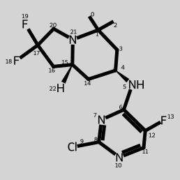 CC1(C)C[C@@H](Nc2nc(Cl)ncc2F)C[C@@H]2CC(F)(F)CN21